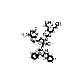 C#C[C@]1(CO[P@@](=O)(N[C@@H](Cc2ccccc2)C(=O)O)Oc2ccccc2)O[C@@H](n2cnc3c(N)nc(F)nc32)C[C@@H]1OC(=O)OC(CCCC)CCCC